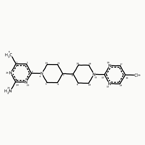 Cc1cc(N2CCC(C3CCN(c4ncc(Cl)cn4)CC3)CC2)nc(N)n1